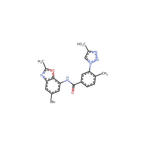 Cc1nc2cc(C(C)(C)C)cc(NC(=O)c3ccc(C)c(-n4cc(C(=O)O)nn4)c3)c2o1